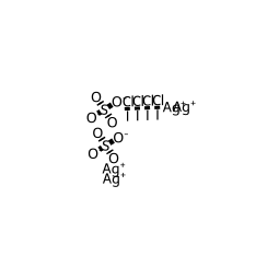 ClI.ClI.ClI.ClI.O=S(=O)([O-])[O-].O=S(=O)([O-])[O-].[Ag+].[Ag+].[Ag+].[Ag+]